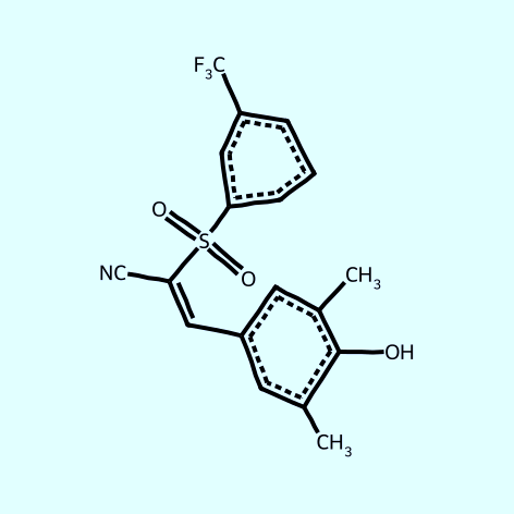 Cc1cc(/C=C(/C#N)S(=O)(=O)c2cccc(C(F)(F)F)c2)cc(C)c1O